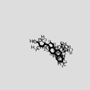 CC[C@H]1[C@@H](O[Si](C)(C)C)[C@@H]2[C@H](CC[C@]3(C)[C@@H]([C@H](C)C[C@H](C)C(=O)O)CC[C@@H]23)[C@@]2(C)CC[C@@H](C)C[C@@H]12